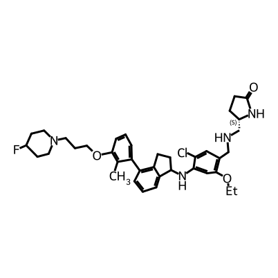 CCOc1cc(NC2CCc3c(-c4cccc(OCCCN5CCC(F)CC5)c4C)cccc32)c(Cl)cc1CNC[C@@H]1CCC(=O)N1